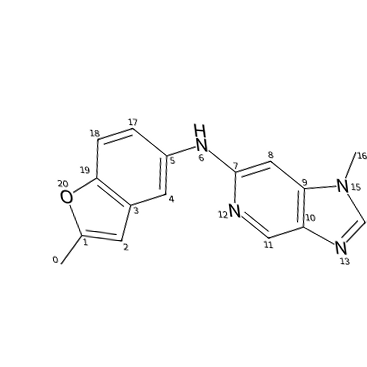 Cc1cc2cc(Nc3cc4c(cn3)ncn4C)ccc2o1